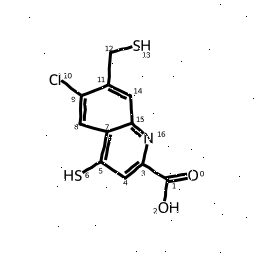 O=C(O)c1cc(S)c2cc(Cl)c(CS)cc2n1